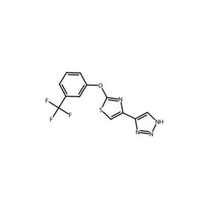 FC(F)(F)c1cccc(Oc2nc(-c3c[nH]nn3)cs2)c1